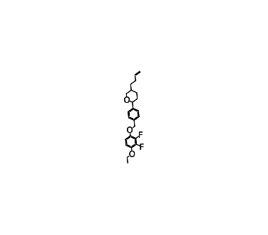 C=CCCC1CCC(c2ccc(COc3ccc(OCC)c(F)c3F)cc2)OC1